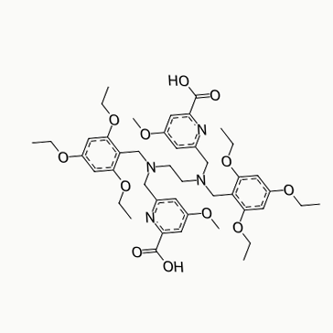 CCOc1cc(OCC)c(CN(CCN(Cc2cc(OC)cc(C(=O)O)n2)Cc2c(OCC)cc(OCC)cc2OCC)Cc2cc(OC)cc(C(=O)O)n2)c(OCC)c1